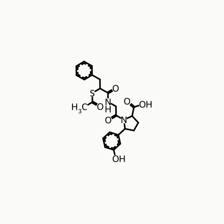 CC(=O)SC(Cc1ccccc1)C(=O)NCC(=O)N1C(C(=O)O)CCC1c1cccc(O)c1